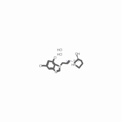 Cl.Cl.O[C@H]1CCCN[C@@H]1/C=C/Cn1cnc2cc(Cl)cc(Cl)c21